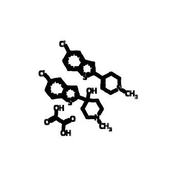 CN1CC=C(c2cc3cc(Cl)ccc3s2)CC1.CN1CCC(O)(c2cc3cc(Cl)ccc3s2)CC1.O=C(O)C(=O)O